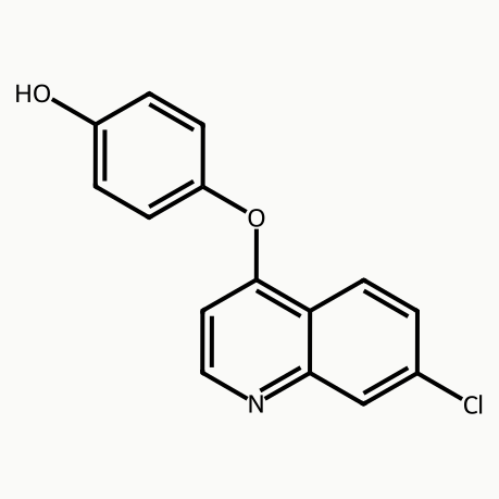 Oc1ccc(Oc2ccnc3cc(Cl)ccc23)cc1